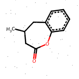 CC1CC(=O)Oc2ccccc2C1